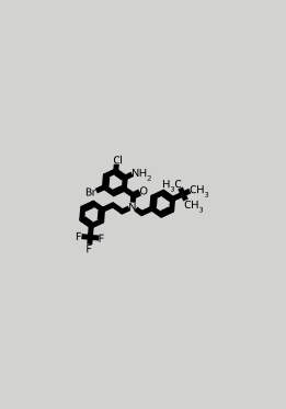 CC(C)(C)c1ccc(CN(CCc2cccc(C(F)(F)F)c2)C(=O)c2cc(Br)cc(Cl)c2N)cc1